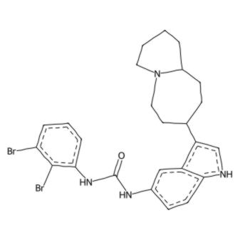 O=C(Nc1ccc2[nH]cc(C3CCC4CCCCN4CC3)c2c1)Nc1cccc(Br)c1Br